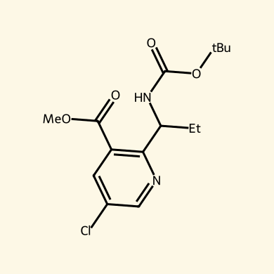 CCC(NC(=O)OC(C)(C)C)c1ncc(Cl)cc1C(=O)OC